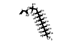 C=CC(=O)OC(F)(F)CC(F)(F)C(F)(F)C(F)(F)C(F)(F)C(F)(F)C(F)(F)C(F)(F)C(F)(F)F